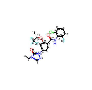 CCn1cnn(-c2ccc(C(=O)Nc3c(F)cccc3Cl)c(O[C@@H](C)C(F)(F)F)c2)c1=O